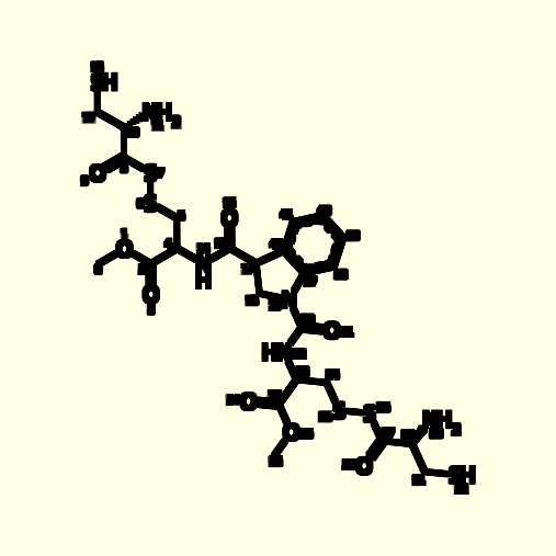 COC(=O)C(CSSC(=O)[C@@H](N)CS)NC(=O)C1CN(C(=O)NC(CSSC(=O)[C@@H](N)CS)C(=O)OC)c2ccccc21